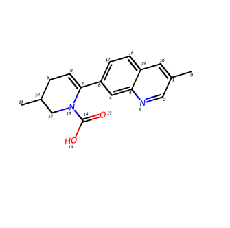 Cc1cnc2cc(C3=CCC(C)CN3C(=O)O)ccc2c1